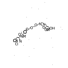 CCC(CC)(NC(=O)/C(C#N)=C/c1cccc(Cl)n1)c1ccc(OCCOCCOCCN2CCN(C/C(=C/C(=O)O)C(=O)O)CC2)cc1